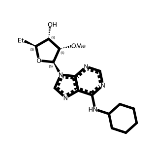 CC[C@@H]1O[C@H](n2cnc3c(NC4CCCCC4)ncnc32)[C@@H](OC)[C@H]1O